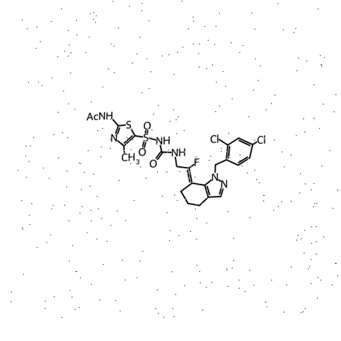 CC(=O)Nc1nc(C)c(S(=O)(=O)NC(=O)NCC(F)=C2CCCc3cnn(Cc4ccc(Cl)cc4Cl)c32)s1